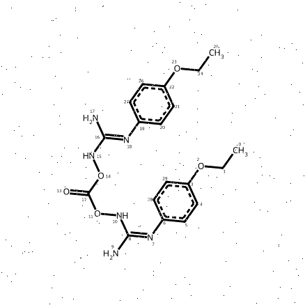 CCOc1ccc(N=C(N)NOC(=O)ONC(N)=Nc2ccc(OCC)cc2)cc1